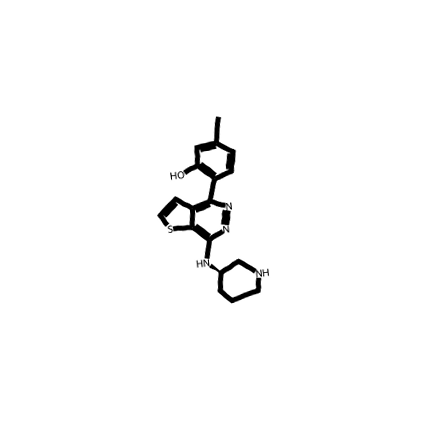 Cc1ccc(-c2nnc(N[C@@H]3CCCNC3)c3sccc23)c(O)c1